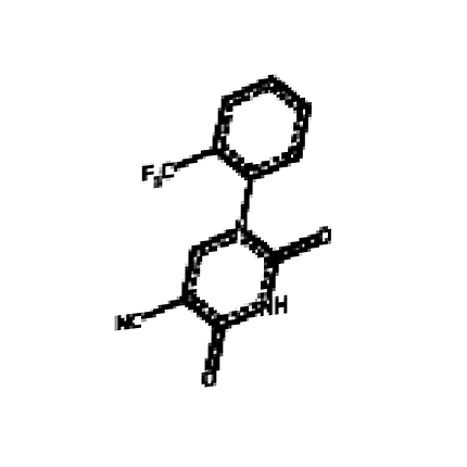 N#Cc1cn(-c2ccccc2C(F)(F)F)c(=O)[nH]c1=O